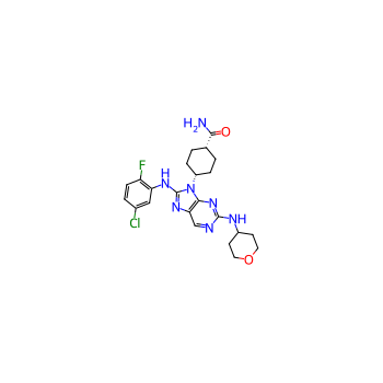 NC(=O)[C@H]1CC[C@@H](n2c(Nc3cc(Cl)ccc3F)nc3cnc(NC4CCOCC4)nc32)CC1